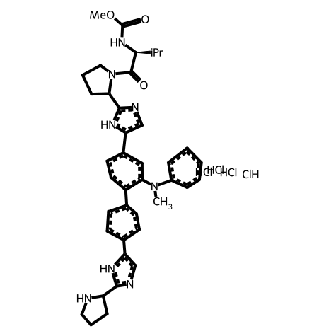 COC(=O)N[C@H](C(=O)N1CCCC1c1ncc(-c2ccc(-c3ccc(-c4cnc(C5CCCN5)[nH]4)cc3)c(N(C)c3ccccc3)c2)[nH]1)C(C)C.Cl.Cl.Cl.Cl